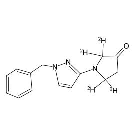 [2H]C1([2H])CC(=O)C([2H])([2H])N1c1ccn(Cc2ccccc2)n1